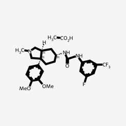 CC(=O)O.COc1ccc([C@@]23CC[C@@H](NC(=O)Nc4cc(F)cc(C(F)(F)F)c4)C[C@@H]2CN(C)C3)cc1OC